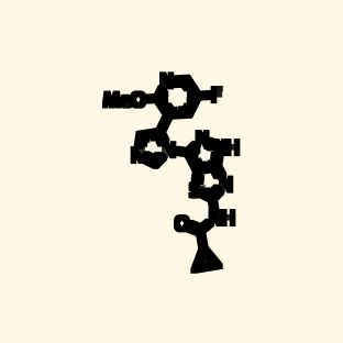 COc1ncc(F)cc1-c1cncn1-c1n[nH]c2nc(NC(=O)C3CC3)sc12